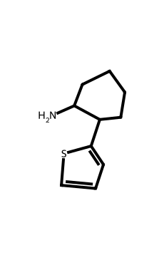 NC1CCCCC1c1cccs1